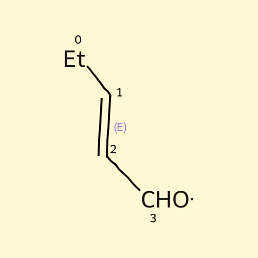 CC/C=C/[C]=O